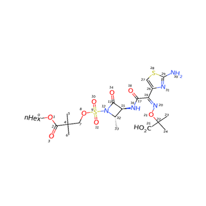 CCCCCCOC(=O)C(C)(C)COS(=O)(=O)N1C(=O)[C@@H](NC(=O)C(=NOC(C)(C)C(=O)O)c2csc(N)n2)[C@@H]1C